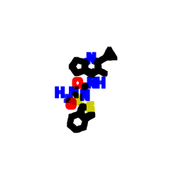 Cc1c(C2CC2)nc2c(c1NC(=O)N=S(N)(=O)c1scc3c1CCCC3)CCC2